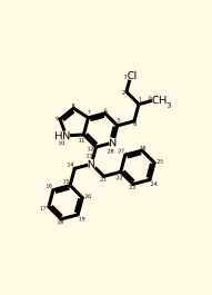 CC(CCl)Cc1cc2cc[nH]c2c(N(Cc2ccccc2)Cc2ccccc2)n1